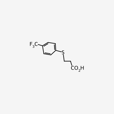 O=C(O)CCSc1ccc(C(F)(F)F)cc1